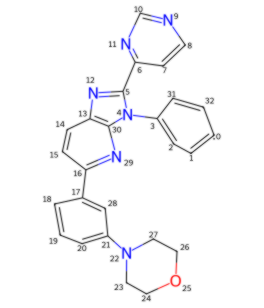 [c]1ccc(-n2c(-c3ccncn3)nc3ccc(-c4cccc(N5CCOCC5)c4)nc32)cc1